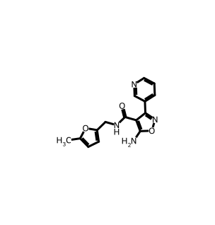 Cc1ccc(CNC(=O)c2c(-c3cccnc3)noc2N)o1